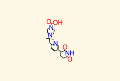 CC(C)(Cc1ccc(C2CCC(=O)NC2=O)cn1)N1CCN(C(=O)O)CC1